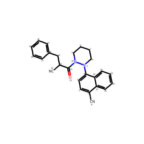 N#Cc1ccc(N2CCCCN2C(=O)C(C#N)Cc2ccccc2)c2ccccc12